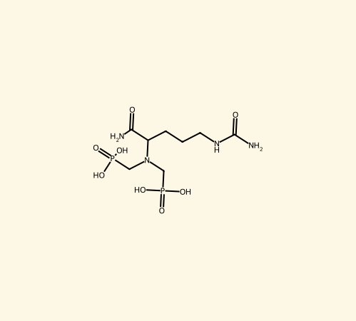 NC(=O)NCCCC(C(N)=O)N(CP(=O)(O)O)CP(=O)(O)O